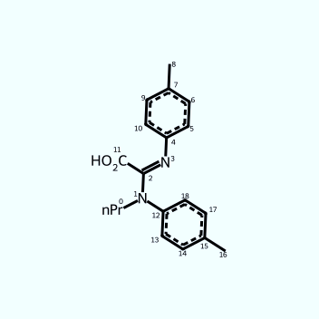 CCCN(/C(=N/c1ccc(C)cc1)C(=O)O)c1ccc(C)cc1